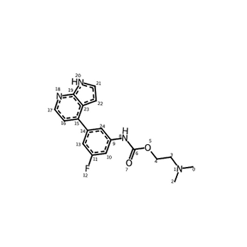 CN(C)CCOC(=O)Nc1cc(F)cc(-c2ccnc3[nH]ccc23)c1